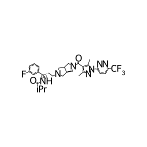 Cc1nn(-c2ccc(C(F)(F)F)nn2)c(C)c1C(=O)N1C=C2CN(CC[C@H](NC(=O)C(C)C)c3cccc(F)c3)CC2C1